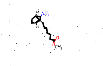 COC(=O)CCCC=CC[C@H]1[C@@H]2CC[C@@H](C2)[C@@H]1N